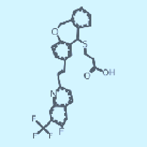 O=C(O)CCSC1c2ccccc2COc2ccc(C=Cc3ccc4cc(F)c(C(F)(F)F)cc4n3)cc21